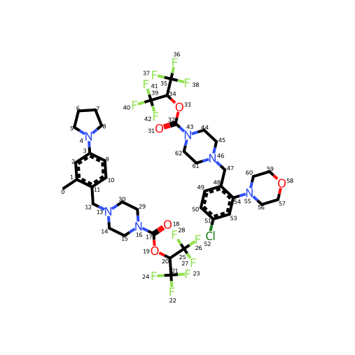 Cc1cc(N2CCCC2)ccc1CN1CCN(C(=O)OC(C(F)(F)F)C(F)(F)F)CC1.O=C(OC(C(F)(F)F)C(F)(F)F)N1CCN(Cc2ccc(Cl)cc2N2CCOCC2)CC1